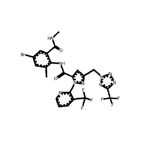 CNC(=O)c1cc(Br)cc(C)c1NC(=O)c1cc(Cn2nnc(C(F)(F)F)n2)nn1-c1ncccc1C(F)(F)F